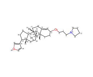 C[C@]12CCC(OCCCN3CCCC3)C=C1CC[C@@H]1[C@H]2CC[C@]2(C)C(c3ccoc3)CC[C@@H]12